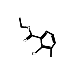 CCOC(=O)c1cccc(C)c1Cl